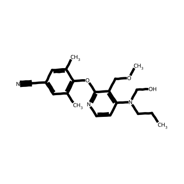 CCCN(CO)c1ccnc(Oc2c(C)cc(C#N)cc2C)c1COC